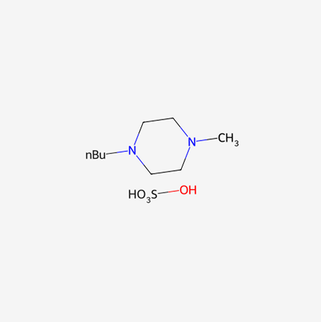 CCCCN1CCN(C)CC1.O=S(=O)(O)O